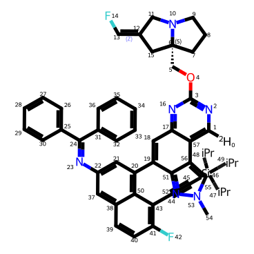 [2H]c1nc(OC[C@@]23CCCN2C/C(=C\F)C3)nc2cc(-c3cc(N=C(c4ccccc4)c4ccccc4)cc4ccc(F)c(C#C[Si](C(C)C)(C(C)C)C(C)C)c34)c3nn(C)cc3c12